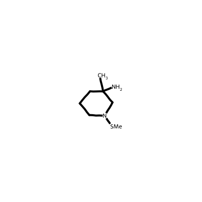 CSN1CCCC(C)(N)C1